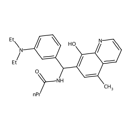 CCCC(=O)NC(c1cccc(N(CC)CC)c1)c1cc(C)c2cccnc2c1O